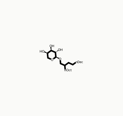 CCCCCCCCCCCCC(CCCCCCCC)CO[C@H]1OC[C@@H](O)[C@@H](O)[C@@H]1O